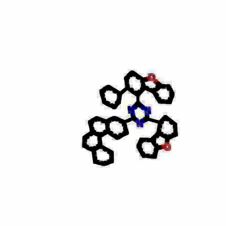 c1ccc(-c2ccc3oc4ccccc4c3c2-c2nc(-c3ccc4c(ccc5ccc6ccccc6c54)c3)nc(-c3cccc4oc5ccccc5c34)n2)cc1